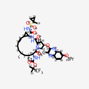 CC[C@@H]1C[C@H](C)CC/C=C\C2C[C@@]2(C(=O)NS(=O)(=O)C2(C)CC2)NC(=O)[C@@H]2C[C@@H](Oc3nc4cc(OC(C)C)ccc4nc3C(F)(F)F)CN2C(=O)[C@H]1NC(=O)OC(C)(C)C(F)(F)F